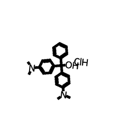 CN(C)c1ccc(C(O)(c2ccccc2)c2ccc(N(C)C)cc2)cc1.Cl